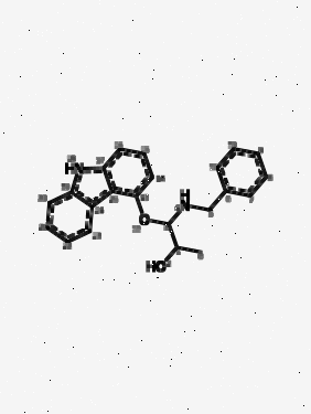 CC(O)C(NCc1ccccc1)Oc1cccc2[nH]c3ccccc3c12